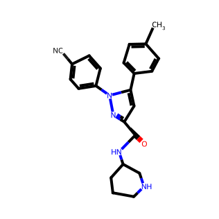 Cc1ccc(-c2cc(C(=O)NC3CCCNC3)nn2-c2ccc(C#N)cc2)cc1